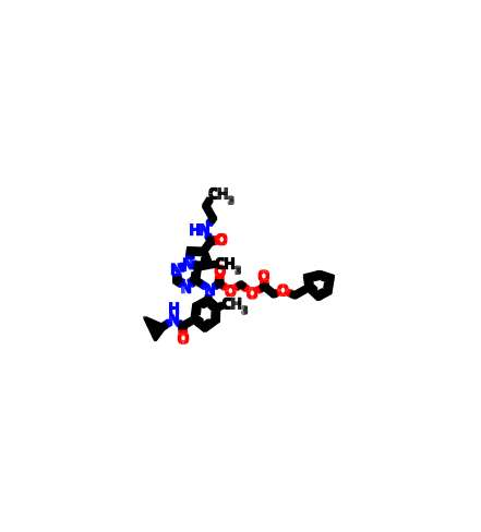 CCCNC(=O)c1cn2ncnc(N(C(=O)OCOC(=O)COCc3ccccc3)c3cc(C(=O)NC4CC4)ccc3C)c2c1C